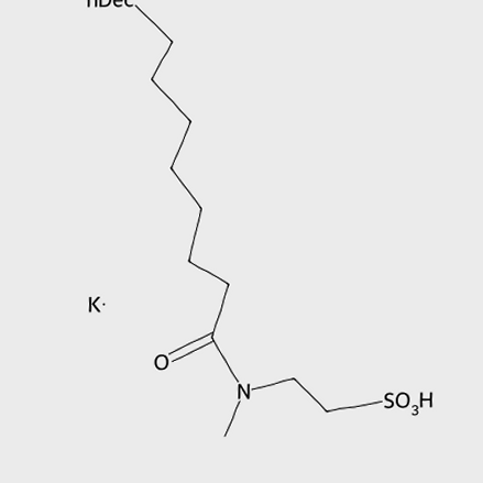 CCCCCCCCCCCCCCCCCC(=O)N(C)CCS(=O)(=O)O.[K]